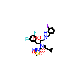 CS(=O)(=O)NC1OC(C2CC2)=CN1[C@@H](Cc1cc(F)cc(F)c1)[C@H](O)CNCc1cccc(I)c1